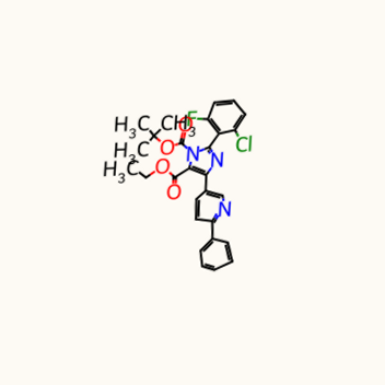 CCOC(=O)c1c(-c2ccc(-c3ccccc3)nc2)nc(-c2c(F)cccc2Cl)n1C(=O)OC(C)(C)C